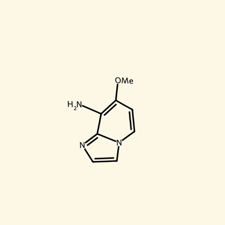 COc1ccn2ccnc2c1N